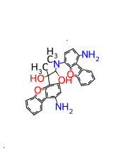 CN(c1ccc(N)c2c1oc1ccccc12)C(O)C(C)(O)c1ccc(N)c2c1oc1ccccc12